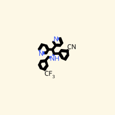 N#Cc1cccc(C(NCc2cccc(C(F)(F)F)c2)C(c2cccnc2)c2cccnc2)c1